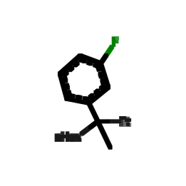 CCCCCCC(C)(CC)c1cccc(F)c1